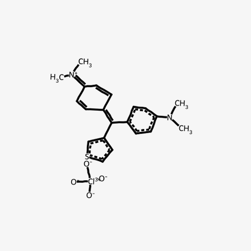 CN(C)c1ccc(C(=C2C=CC(=[N+](C)C)C=C2)c2ccsc2)cc1.[O-][Cl+3]([O-])([O-])[O-]